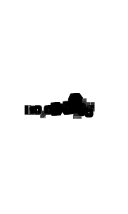 CCOC(=O)N1CCC(N2CCC3(CC2)C[C@H]2CC(=O)N[C@H]2c2ccccc23)CC1